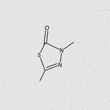 Cc1nn(C)c(=O)s1